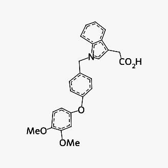 COc1ccc(Oc2ccc(Cn3cc(CC(=O)O)c4ccccc43)cc2)cc1OC